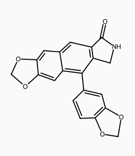 O=C1NCc2c1cc1cc3c(cc1c2-c1ccc2c(c1)OCO2)OCO3